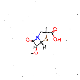 CO[C@H]1C(=O)N2CC(C)(C(=O)O)S[C@H]12